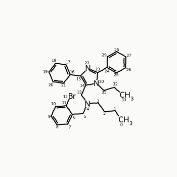 CCCCN(Cc1ccccc1Br)Cc1c(-c2ccccc2)nc(-c2ccccc2)n1CCC